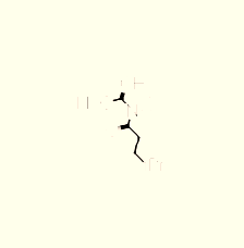 C=C(C)NC(=O)CCC(C)C